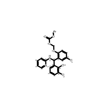 CC(C)OC(=O)OCOc1ccc(Cl)cc1C(Nc1ccccn1)c1cccc(Cl)c1Cl